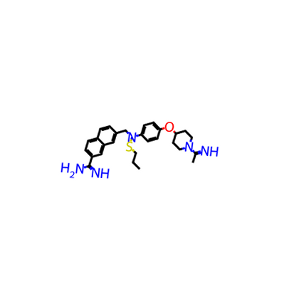 CCCSN(Cc1ccc2ccc(C(=N)N)cc2c1)c1ccc(OC2CCN(C(C)=N)CC2)cc1